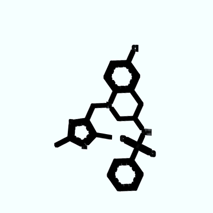 Cc1nc(C)c(CN2CC(NS(=O)(=O)c3ccccc3)Cc3cc(Cl)ccc32)s1